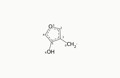 [CH2]c1cocc1O